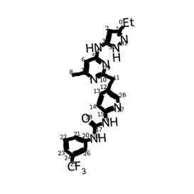 CCc1cc(Nc2cc(C)nc(Cc3ccc(NC(=O)Nc4cccc(C(F)(F)F)c4)nc3)n2)[nH]n1